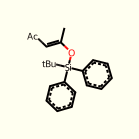 CC(=O)C=C(C)O[Si](c1ccccc1)(c1ccccc1)C(C)(C)C